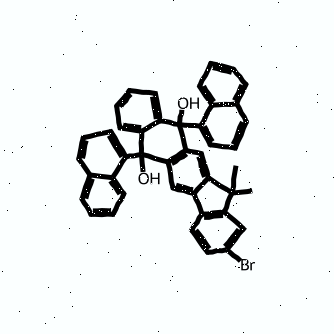 CC1(C)c2cc(Br)ccc2-c2cc3c(cc21)C(O)(c1cccc2ccccc12)c1ccccc1C3(O)c1cccc2ccccc12